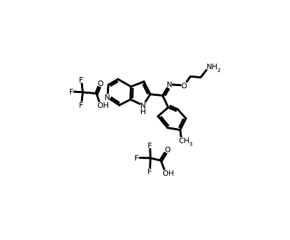 Cc1ccc(C(=NOCCN)c2cc3ccncc3[nH]2)cc1.O=C(O)C(F)(F)F.O=C(O)C(F)(F)F